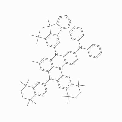 Cc1cc2c3c(c1)N(c1ccc4c(c1)C(C)(C)CCC4(C)C)c1cc4c(cc1B3c1ccc(N(c3ccccc3)c3ccccc3)cc1N2c1cc2c(c(C(C)(C)C)c1)C(C)(C)c1ccccc1-2)C(C)(C)CCC4(C)C